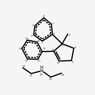 CC1(c2ccccc2)CCC=C1c1ccccc1.CCNCC